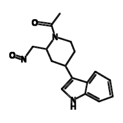 CC(=O)N1CCC(c2c[nH]c3ccccc23)CC1CN=O